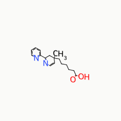 CC1(CCCCCC(=O)O)C=CN=C(c2ccccn2)C1